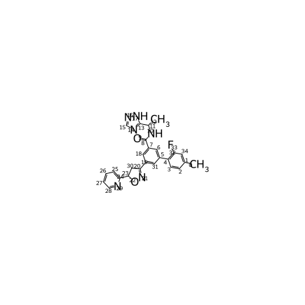 Cc1ccc(-c2cc(C(=O)NC(C)c3ncn[nH]3)cc(C3=NOC(c4ccccn4)C3)c2)c(F)c1